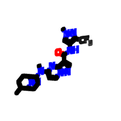 CC1CCC2NC1CCC2N(C)c1ccn2ncc(C(=O)Nc3cn(C)nc3C(F)(F)F)c2n1